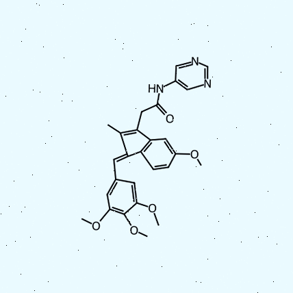 COc1ccc2c(c1)C(CC(=O)Nc1cncnc1)=C(C)/C2=C/c1cc(OC)c(OC)c(OC)c1